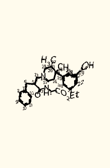 CCOC(=O)CNC(=O)C(Cc1ccccc1)CN1CC[C@@](C)(c2cccc(O)c2)[C@@H](C)C1